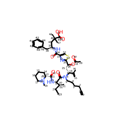 C#CCCCCN(C(=O)[C@@H](NC(=O)[C@H]1CCCCN1C)[C@@H](C)CC)[C@H](C[C@@H](OC(C)=O)c1nc(C(=O)N[C@@H](Cc2ccccc2)CC(C)(C)C(=O)O)cs1)C(=C)C